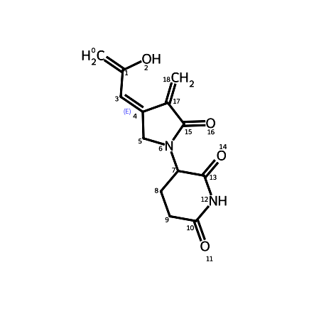 C=C(O)/C=C1/CN(C2CCC(=O)NC2=O)C(=O)C1=C